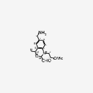 COCCN1c2ccc(CN)cc2C(C)OC1C=O